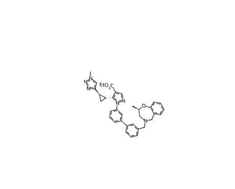 CCOC(=O)c1cnn(-c2cccc(-c3cccc(CN4Cc5ccccc5O[C@H](C)C4)c3)c2)c1[C@@H]1C[C@H]1c1cn(C)nn1